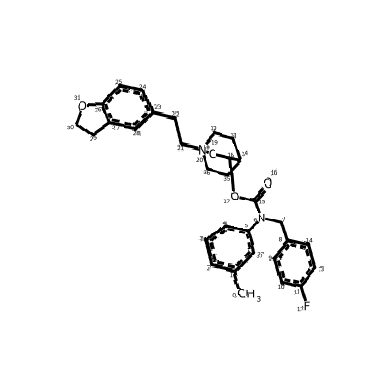 Cc1cccc(N(Cc2ccc(F)cc2)C(=O)OC2C[N+]3(CCc4ccc5c(c4)CCO5)CCC2CC3)c1